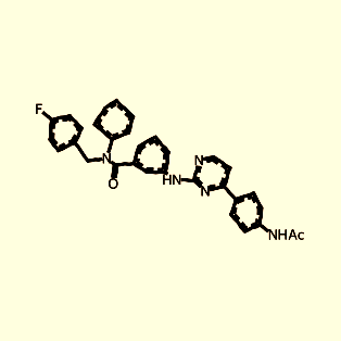 CC(=O)Nc1ccc(-c2ccnc(Nc3cccc(C(=O)N(Cc4ccc(F)cc4)c4ccccc4)c3)n2)cc1